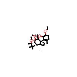 CCOc1ccc(C)c2c1O[C@H]1[C@](CC)(OC)[C@@H](C(C)(O)C(C)(C)C)CC3[C@@H](C)CCC[C@@]231